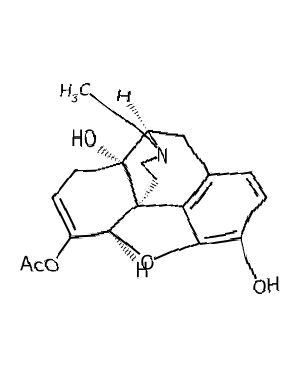 CC(=O)OC1=CC[C@@]2(O)[C@H]3Cc4ccc(O)c5c4[C@@]2(CCN3C)[C@H]1O5